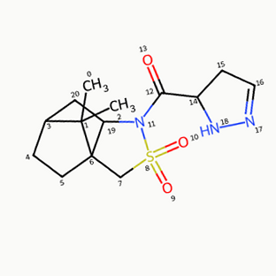 CC1(C)C2CCC13CS(=O)(=O)N(C(=O)C1CC=NN1)C3C2